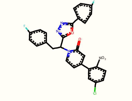 O=c1cc(-c2cc(Cl)ccc2[N+](=O)[O-])ccn1C(Cc1ccc(F)cc1)c1nnc(-c2ccc(F)cc2)o1